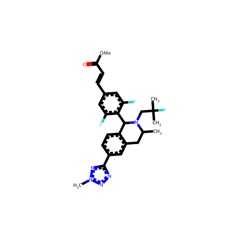 COC(=O)/C=C/c1cc(F)c(C2c3ccc(-c4nnn(C)n4)cc3CC(C)N2CC(C)(C)F)c(F)c1